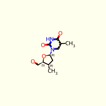 Cc1cn([C@H]2C[C@@H](C)[C@@H](C=O)O2)c(=O)[nH]c1=O